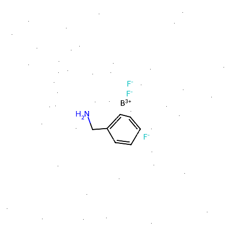 NCc1ccccc1.[B+3].[F-].[F-].[F-]